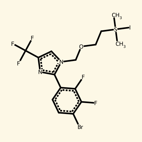 CS(C)(I)CCOCn1cc(C(F)(F)F)nc1-c1ccc(Br)c(F)c1F